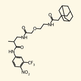 CC(CNC(=O)COCCNC(=O)CC12CC3CC(CC(C3)C1)C2)C(=O)Nc1ccc([N+](=O)[O-])c(C(F)(F)F)c1